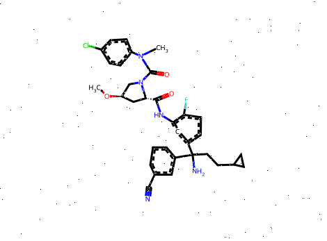 CO[C@@H]1C[C@@H](C(=O)Nc2cc(C(N)(CCC3CC3)c3cccc(C#N)c3)ccc2F)N(C(=O)N(C)c2ccc(Cl)cc2)C1